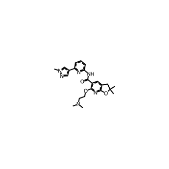 CN(C)CCOc1nc2c(cc1C(=O)Nc1cccc(-c3cnn(C)c3)n1)CC(C)(C)O2